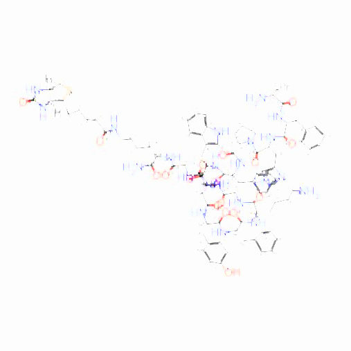 CC(C)[C@H](N)C(=O)N[C@@H](Cc1ccccc1)C(=O)N[C@@H](Cc1c[nH]cn1)C(=O)N1CCC[C@H]1C(=O)N[C@@H](Cc1ccccc1)C(=O)N[C@@H](Cc1c[nH]c2ccccc12)C(=O)NCC(=O)N[C@@H](Cc1ccc(O)cc1)C(=O)N[C@@H](Cc1ccccc1)C(=O)N[C@@H](CCCCN)C(=O)NCC(=O)NCC(=O)NCC(=O)N[C@@H](CCCCNC(=O)CCCC[C@@H]1SC[C@@H]2NC(=O)N[C@@H]21)C(N)=O